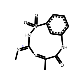 C/N=C1\N=C(C)C(=O)Nc2cccc(c2)S(=O)(=O)N1